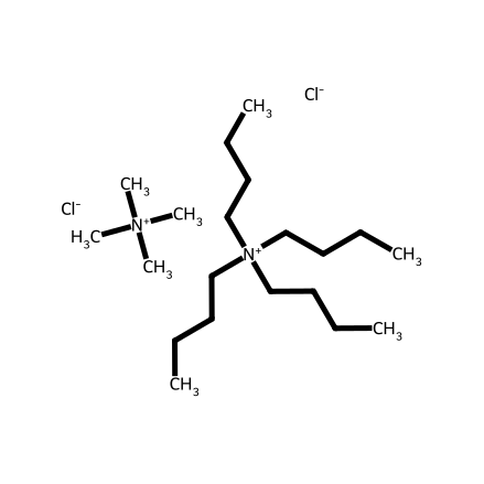 CCCC[N+](CCCC)(CCCC)CCCC.C[N+](C)(C)C.[Cl-].[Cl-]